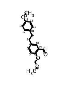 COCOc1ccc(CCc2ccc(OC)cc2)cc1C=O